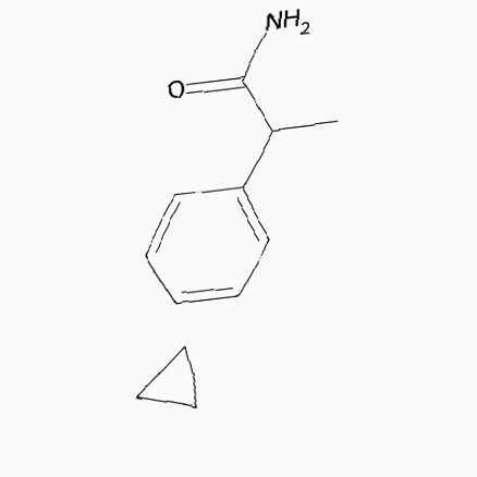 C1CC1.CC(C(N)=O)c1ccccc1